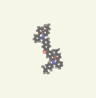 CC(C)c1ccc(-c2ccccc2N(c2ccc(C(C)(C)C)cc2)c2ccc3cc4c(cc3c2)oc2cc3cc(N(c5ccc(C(C)(C)C)cc5)c5ccccc5-c5ccccc5)ccc3cc24)cc1